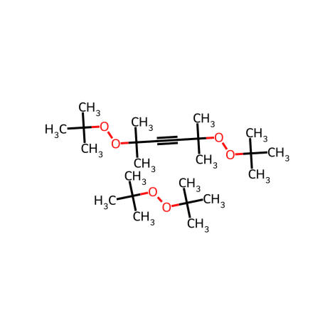 CC(C)(C)OOC(C)(C)C.CC(C)(C)OOC(C)(C)C#CC(C)(C)OOC(C)(C)C